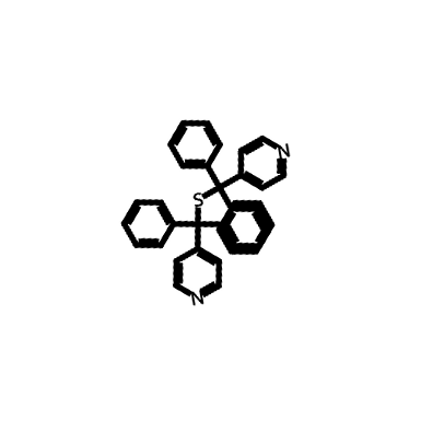 c1ccc(C(SC(c2ccccc2)(c2ccccc2)c2ccncc2)(c2ccccc2)c2ccncc2)cc1